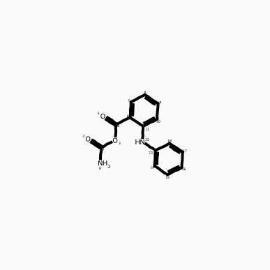 NC(=O)OC(=O)c1ccccc1Nc1ccccc1